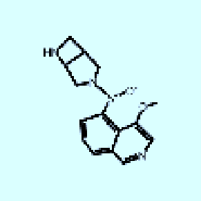 COc1cncc2cccc([S+]([O-])N3CC4CNC4C3)c12